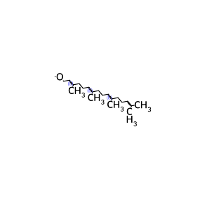 CC(C)=CCC/C(C)=C/CC/C(C)=C/CC/C(C)=C/C[O]